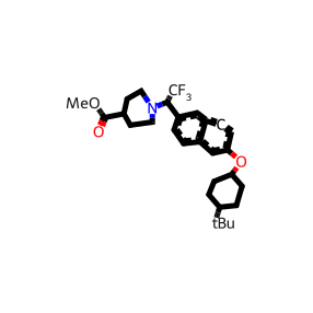 COC(=O)C1CCN(C(c2ccc3cc(OC4CCC(C(C)(C)C)CC4)ccc3c2)C(F)(F)F)CC1